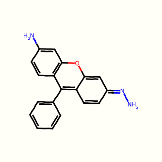 NN=c1ccc2c(-c3ccccc3)c3ccc(N)cc3oc-2c1